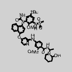 COc1cc(Nc2cc(Oc3ccc(N(C(N)=O)c4cc(C(C)(C)C)cc(NS(C)(=O)=O)c4OC)c4ccccc34)ccn2)ccc1C(=O)NC(C)N1CCCCC1O